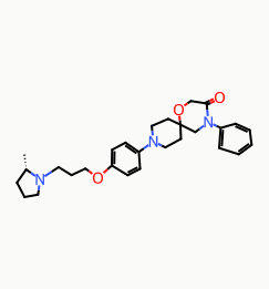 C[C@H]1CCCN1CCCOc1ccc(N2CCC3(CC2)CN(c2ccccc2)C(=O)CO3)cc1